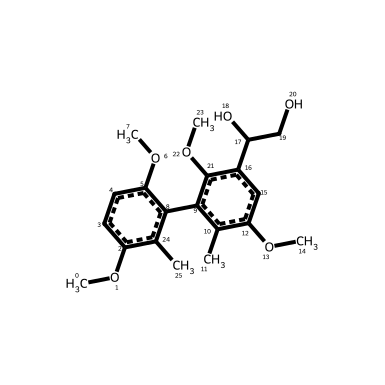 COc1ccc(OC)c(-c2c(C)c(OC)cc(C(O)CO)c2OC)c1C